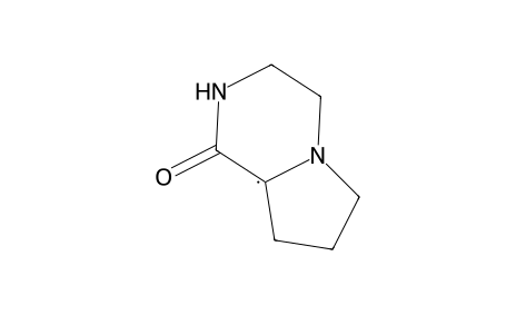 O=C1NCCN2CCC[C]12